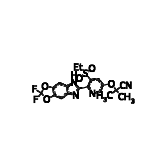 CCS(=O)(=O)c1cc(OC(C)(C)C#N)cnc1-c1nc2cc3c(cc2[nH]1)OC(F)(F)O3